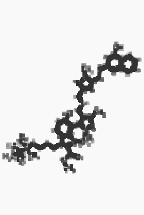 COC(=O)c1c(CCCO[Si](C)(C)C(C)(C)C)c2ccc(Cl)c(-c3c(CSCc4cc(CSc5cc(O)c6ccccc6c5)n(C)n4)c(C)nn3C)c2n1C